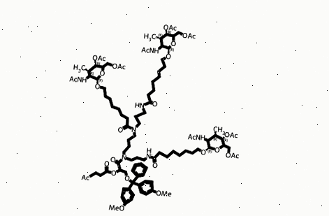 COc1ccc(C(OCC(OC(=O)CCC(C)=O)C(=O)N(CCCCN(CCCNC(=O)CCCCCCCO[C@@H]2OC(COC(C)=O)[C@H](OC(C)=O)[C@H](C)C2NC(C)=O)C(=O)CCCCCCCO[C@@H]2OC(COC(C)=O)[C@H](OC(C)=O)[C@H](C)C2NC(C)=O)CCCNC(=O)CCCCCCCO[C@@H]2OC(COC(C)=O)[C@H](OC(C)=O)[C@H](C)C2NC(C)=O)(c2ccccc2)c2ccc(OC)cc2)cc1